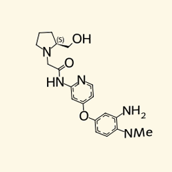 CNc1ccc(Oc2ccnc(NC(=O)CN3CCC[C@H]3CO)c2)cc1N